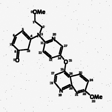 COCCN(C1=CC=[C]C(=O)C1)c1ccc(Oc2ccnc3cc(OC)ccc23)cn1